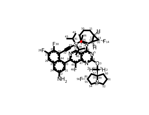 [2H]C([2H])(Oc1nc(N2CCCC[C@H]3[C@H](F)[C@H]32)c2cnc(-c3cc(N)cc4cc(F)c(F)c(C#C[Si](C(C)C)(C(C)C)C(C)C)c34)c(F)c2n1)[C@@]12CCCN1C[C@H](F)C2